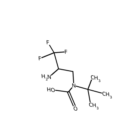 CC(C)(C)N(CC(N)C(F)(F)F)C(=O)O